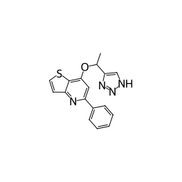 CC(Oc1cc(-c2ccccc2)nc2ccsc12)c1c[nH]nn1